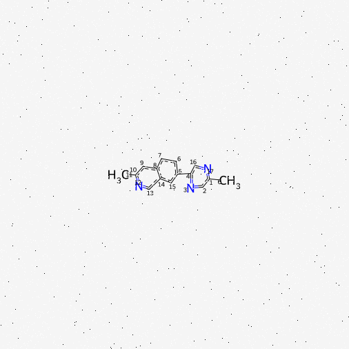 Cc1cnc(-c2ccc3cc(C)ncc3c2)cn1